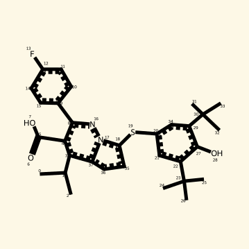 CC(C)c1c(C(=O)O)c(-c2ccc(F)cc2)nn2c(Sc3cc(C(C)(C)C)c(O)c(C(C)(C)C)c3)ccc12